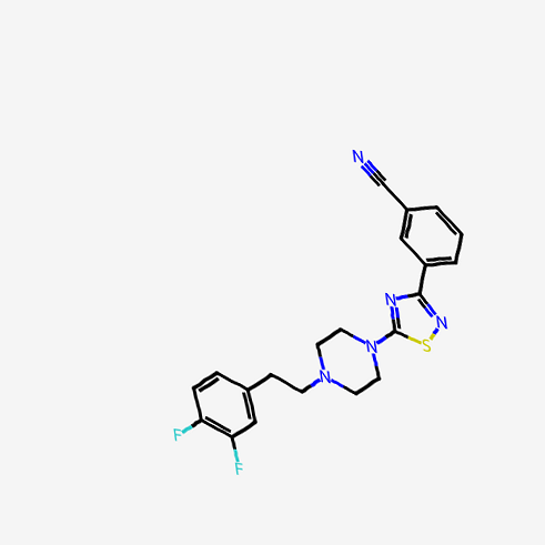 N#Cc1cccc(-c2nsc(N3CCN(CCc4ccc(F)c(F)c4)CC3)n2)c1